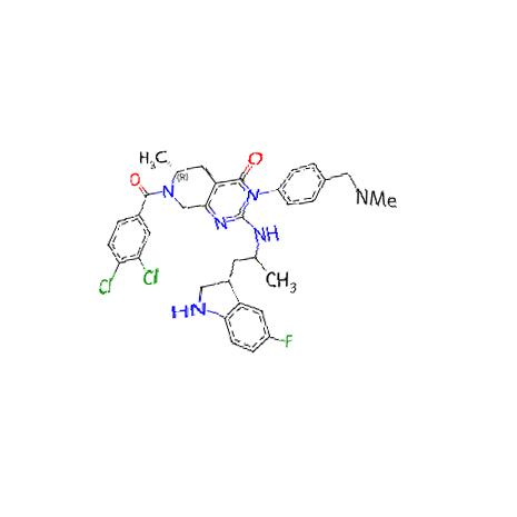 CNCc1ccc(-n2c(NC(C)CC3CNc4ccc(F)cc43)nc3c(c2=O)C[C@@H](C)N(C(=O)c2ccc(Cl)c(Cl)c2)C3)cc1